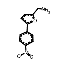 NCc1ccc(-c2ccc([N+](=O)[O-])cc2)o1